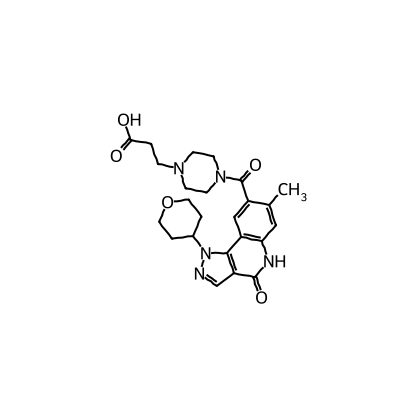 Cc1cc2[nH]c(=O)c3cnn(C4CCOCC4)c3c2cc1C(=O)N1CCN(CCC(=O)O)CC1